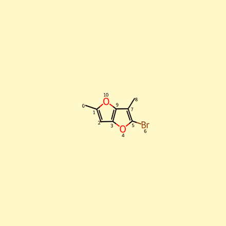 Cc1cc2oc(Br)c(C)c2o1